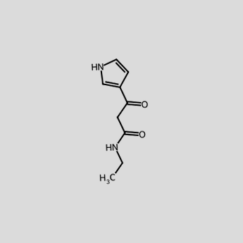 CCNC(=O)CC(=O)c1cc[nH]c1